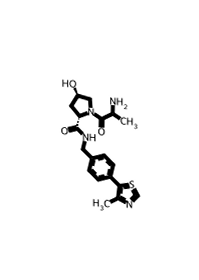 Cc1ncsc1-c1ccc(CNC(=O)[C@@H]2C[C@@H](O)CN2C(=O)C(C)N)cc1